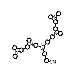 N#Cc1cccc(-c2ccc(-c3cc(-c4ccc(-c5ccc(-n6c7ccccc7c7cc(-c8ccc9c(c8)c8ccccc8n9-c8ccccc8)ccc76)cc5)cc4)nc(-c4ccc(-n5c6ccccc6c6cc(-c7ccc8c(c7)c7ccccc7n8-c7ccccc7)ccc65)cc4)n3)cc2)c1